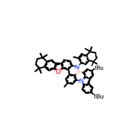 Cc1cc2c3c(c1)-n1c4ccc(C(C)(C)C)cc4c4cc(C(C)(C)C)cc(c41)B3N(c1cc3c(cc1C)C(C)(C)CCC3(C)C)c1ccc3c(oc4cc5c(cc43)C(C)(C)CCC5(C)C)c1-2